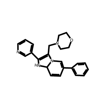 C1=CC2NC(c3cccnc3)=C(CN3CCOCC3)N2C=C1c1ccccc1